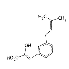 CC(C)=CCc1cccc(C=C(O)C(=O)O)c1